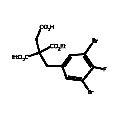 CCOC(=O)C(CC(=O)O)(Cc1cc(Br)c(F)c(Br)c1)C(=O)OCC